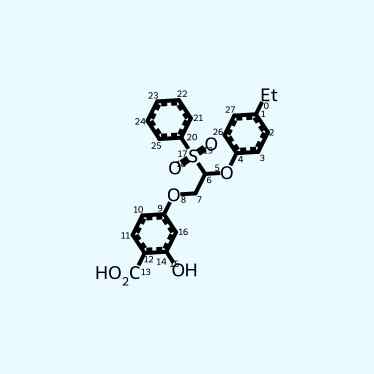 CCc1ccc(OC(COc2ccc(C(=O)O)c(O)c2)S(=O)(=O)c2ccccc2)cc1